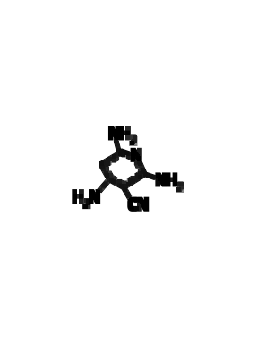 N#Cc1c(N)cc(N)nc1N